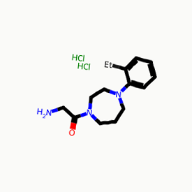 CCc1ccccc1N1CCCN(C(=O)CN)CC1.Cl.Cl